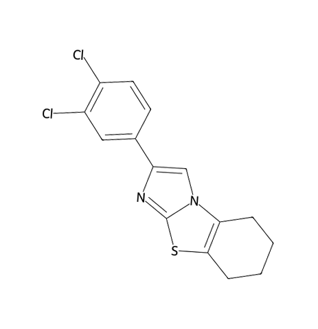 Clc1ccc(-c2cn3c4c(sc3n2)CCCC4)cc1Cl